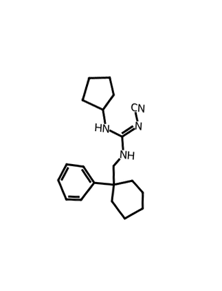 N#C/N=C(/NCC1(c2ccccc2)CCCCC1)NC1CCCC1